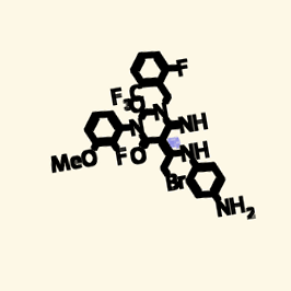 COc1cccc(N2C(=O)/C(=C(\CBr)Nc3ccc(N)cc3)C(=N)N(Cc3c(F)cccc3C(F)(F)F)C2=O)c1F